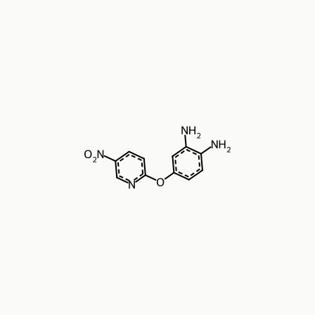 Nc1ccc(Oc2ccc([N+](=O)[O-])cn2)cc1N